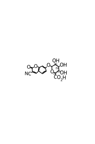 N#Cc1cc2ccc(OC3O[C@H](C(=O)O)[C@@H](O)[C@H](O)[C@H]3O)cc2oc1=O